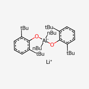 CCC[CH2][Al-]([CH2]CCC)([O]c1c(C(C)(C)C)cccc1C(C)(C)C)[O]c1c(C(C)(C)C)cccc1C(C)(C)C.[Li+]